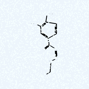 COc1ccc(C(=N)/N=N\NCC(C)=O)cc1OC